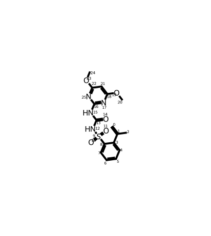 C=C(C)c1ccccc1S(=O)(=O)NC(=O)Nc1nc(OC)cc(OC)n1